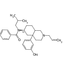 C=CCN1CCC2(c3cccc(O)c3)C[C@@H](N(CC(C)C)C(=O)c3ccccc3)CCC2C1